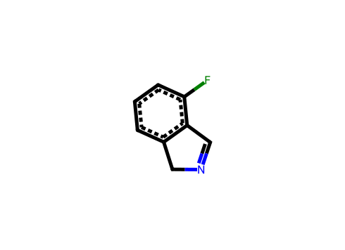 Fc1cccc2c1C=NC2